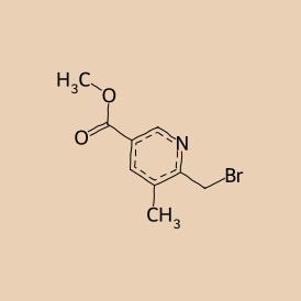 COC(=O)c1cnc(CBr)c(C)c1